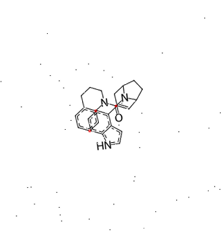 O=C(N1CCCc2ccccc21)N1C2C=C(c3cccc4[nH]ccc34)CC1CC2